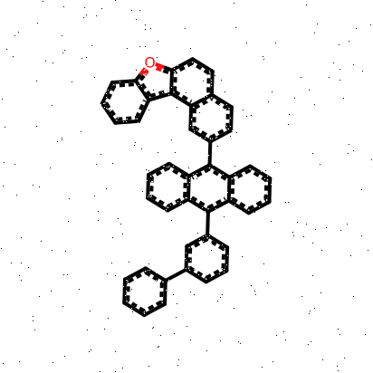 c1ccc(-c2cccc(-c3c4ccccc4c(-c4ccc5ccc6oc7ccccc7c6c5c4)c4ccccc34)c2)cc1